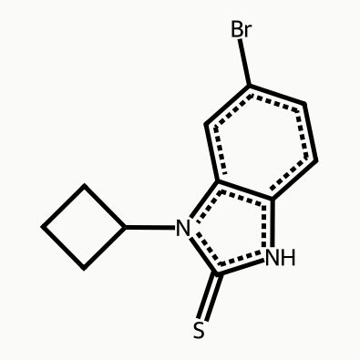 S=c1[nH]c2ccc(Br)cc2n1C1CCC1